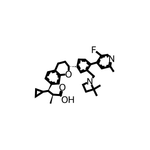 Cc1cc(-c2ccc([C@H]3CCc4ccc([C@H](C5CC5)[C@H](C)C(=O)O)cc4O3)cc2CN2CCC2(C)C)c(F)cn1